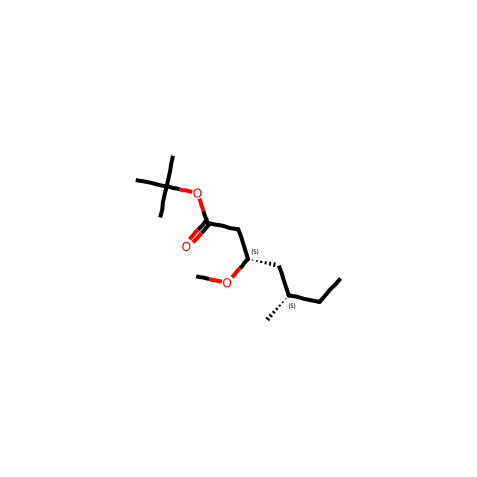 CC[C@H](C)C[C@@H](CC(=O)OC(C)(C)C)OC